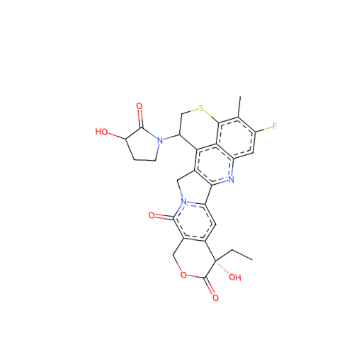 CC[C@@]1(O)C(=O)OCc2c1cc1n(c2=O)Cc2c-1nc1cc(F)c(C)c3c1c2C(N1CCC(O)C1=O)CS3